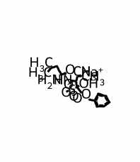 CC(C)C[C@H](N)C(=O)NC(C(C)C)C(O)(C(=O)OCc1ccccc1)S(=O)(=O)[O-].[Na+]